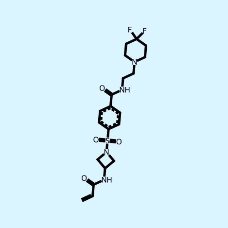 C=CC(=O)NC1CN(S(=O)(=O)c2ccc(C(=O)NCCN3CCC(F)(F)CC3)cc2)C1